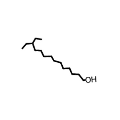 CCC(CC)CCCCCCCCCCCO